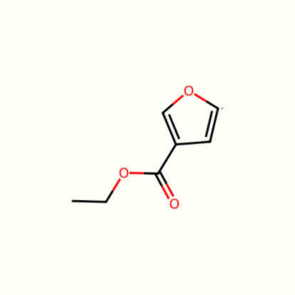 CCOC(=O)c1c[c]oc1